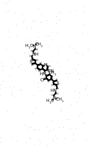 Cc1cc(-c2csc(CNCCN(C)C)c2)cc(Cl)c1Nc1c(C#N)cnc2cc(-c3csc(CNCCN(C)C)c3)ccc12